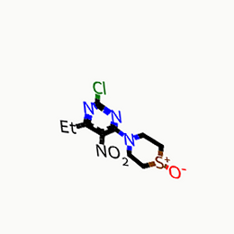 CCc1nc(Cl)nc(N2CC[S+]([O-])CC2)c1[N+](=O)[O-]